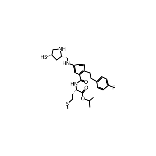 CSCC[C@H](NC(=O)c1cc(NC[C@@H]2C[C@H](S)CN2)ccc1CCc1ccc(F)cc1)C(=O)OC(C)C